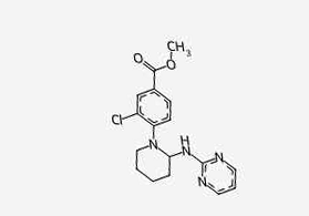 COC(=O)c1ccc(N2CCCCC2Nc2ncccn2)c(Cl)c1